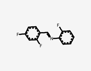 Fc1ccc(/C=N/c2ccccc2F)c(F)c1